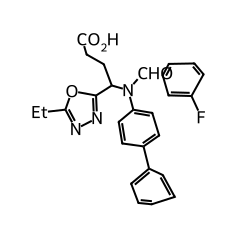 CCc1nnc(C(CCC(=O)O)N(C=O)c2ccc(-c3ccccc3)cc2)o1.Fc1ccccc1